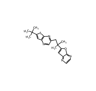 CC(C)(C)c1cc2ncc(CC(C)(C)c3cc4nccnc4o3)nc2s1